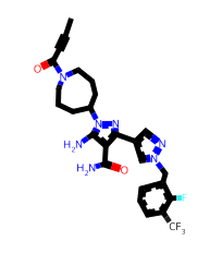 CC#CC(=O)N1CCCC(n2nc(-c3cnn(Cc4cccc(C(F)(F)F)c4F)c3)c(C(N)=O)c2N)CCC1